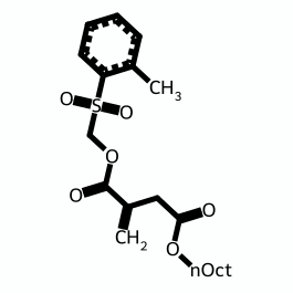 C=C(CC(=O)OCCCCCCCC)C(=O)OCS(=O)(=O)c1ccccc1C